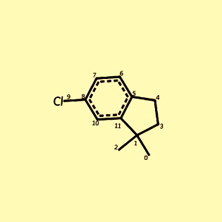 CC1(C)CCc2ccc(Cl)cc21